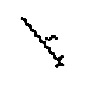 CCCCCCCCCCCCCCCC(=O)N(C)C.O.O